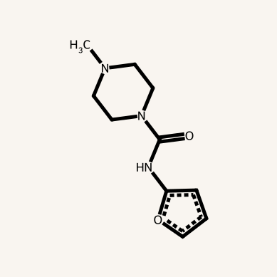 CN1CCN(C(=O)Nc2ccco2)CC1